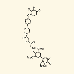 COc1cc(-c2cn(C)c(=O)c3[nH]ncc23)cc(OC)c1CNCC(=O)NCC(=O)N1CCC(c2ccc(OC3CCC(=O)NC3=O)cc2)CC1